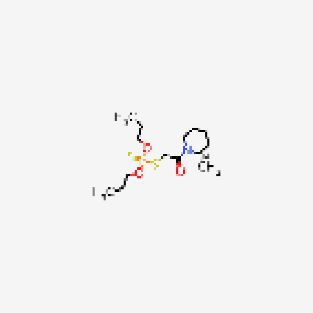 CCCOP(=S)(OCCC)SCC(=O)N1CCCC[C@@H]1C